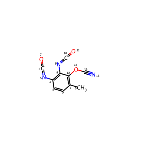 Cc1ccc(N=C=O)c(N=C=O)c1OC#N